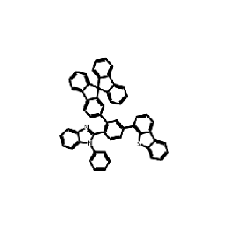 c1ccc(-n2c(-c3ccc(-c4cccc5c4sc4ccccc45)cc3-c3ccc4c(c3)C3(c5ccccc5-c5ccccc53)c3ccccc3-4)nc3ccccc32)cc1